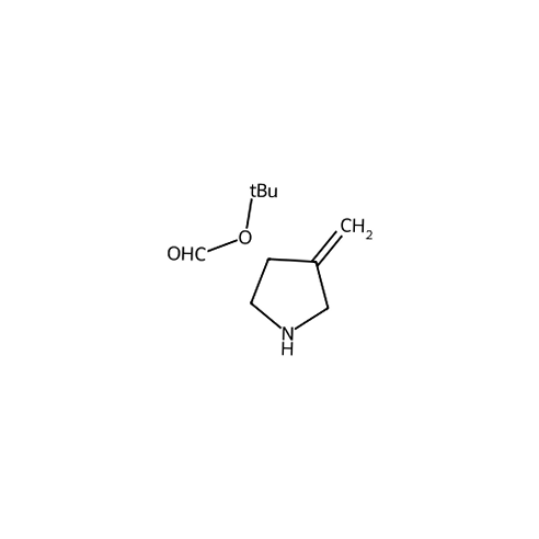 C=C1CCNC1.CC(C)(C)OC=O